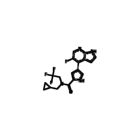 O=C(c1cc(-c2c(F)cnc3[nH]ccc23)c[nH]1)N(CC1CC1)CC(F)(F)F